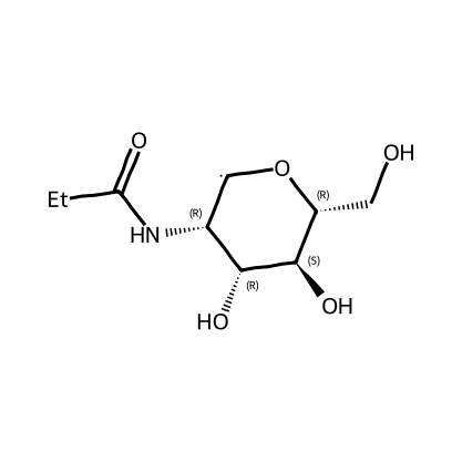 CCC(=O)N[C@@H]1[CH]O[C@H](CO)[C@@H](O)[C@@H]1O